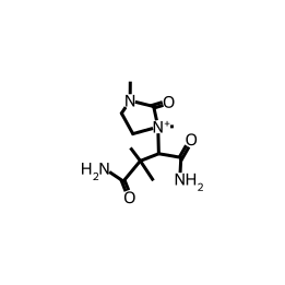 CN1CC[N+](C)(C(C(N)=O)C(C)(C)C(N)=O)C1=O